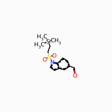 C[Si](C)(C)CCS(=O)(=O)n1ccc2cc(C=O)ccc21